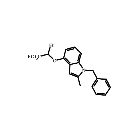 CCOC(=O)C(CC)Oc1cccc2c1cc(C)n2Cc1ccccc1